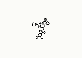 CC[C@H](CN1CC[C@@H](CNC(=O)c2ccc(Cl)c(CI)c2)N[C@@H](CCN2CCCCC2)C1=O)c1ccccc1